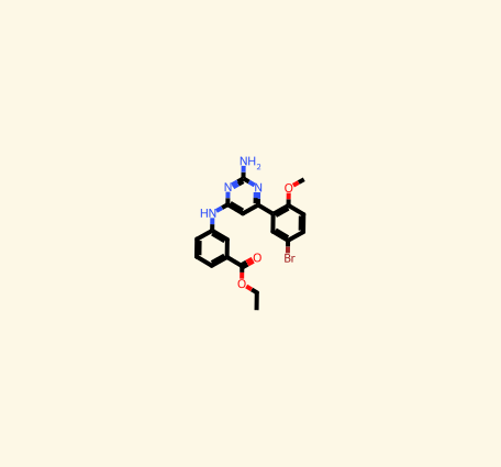 CCOC(=O)c1cccc(Nc2cc(-c3cc(Br)ccc3OC)nc(N)n2)c1